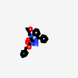 O=C(NC1N=C(c2ccccc2)c2ccccc2N(CC2CO2)C1=O)OCc1ccccc1